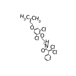 CC(C)=CCOc1cc(Cl)c(OCCCNC(=O)C(=C(Cl)Cl)c2ccccc2)c(Cl)c1